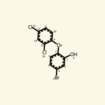 Oc1cc(Br)ccc1Oc1ccc(Cl)cc1Cl